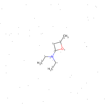 CCN(CC)C1CC(C)O1